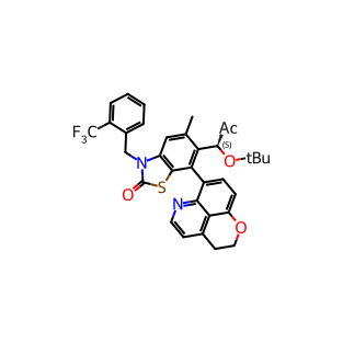 CC(=O)[C@@H](OC(C)(C)C)c1c(C)cc2c(sc(=O)n2Cc2ccccc2C(F)(F)F)c1-c1ccc2c3c(ccnc13)CCO2